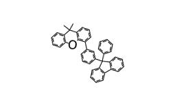 CC1(C)c2ccccc2Oc2c(-c3cccc(C4(c5ccccc5)c5ccccc5-c5ccccc54)c3)cccc21